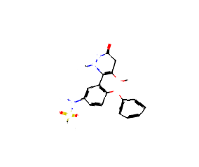 COC1=C(c2cc(N(C)S(C)(=O)=O)ccc2Oc2ccccc2)N(C)NC(=O)C1